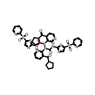 O=C(c1ccncc1N(C(=O)Nc1ncc(S(=O)(=O)c2ccccn2)s1)N(C(=O)Nc1ncc(S(=O)(=O)c2ccccn2)s1)c1ncccc1C(=O)C1CCCC1)C1CCCC1